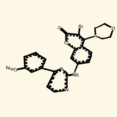 COc1cccc(-c2ccnc(Nc3ccc4c(N5CCOCC5)c(C(C)=O)c(=O)oc4c3)n2)c1